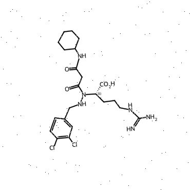 N=C(N)NCCC[C@@H](C(=O)O)N(NCc1ccc(Cl)c(Cl)c1)C(=O)CC(=O)NC1CCCCC1